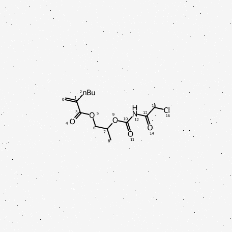 C=C(CCCC)C(=O)OCC(C)OC(=O)NC(=O)CCl